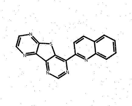 c1ccc2nc(-c3ncnc4c3sc3nccnc34)ccc2c1